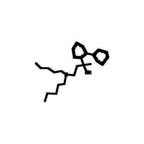 CCCCCN(CCCCC)CCC(C)(O)c1ccccc1-c1ccccc1